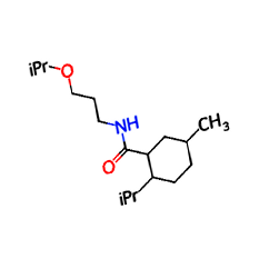 CC1CCC(C(C)C)C(C(=O)NCCCOC(C)C)C1